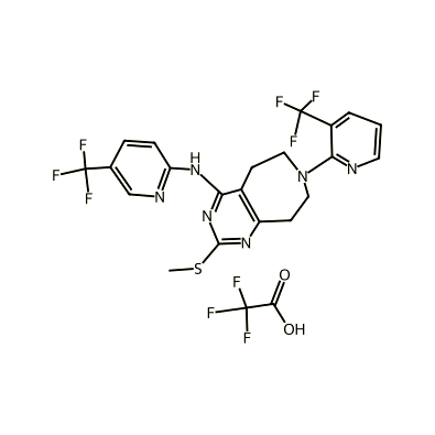 CSc1nc2c(c(Nc3ccc(C(F)(F)F)cn3)n1)CCN(c1ncccc1C(F)(F)F)CC2.O=C(O)C(F)(F)F